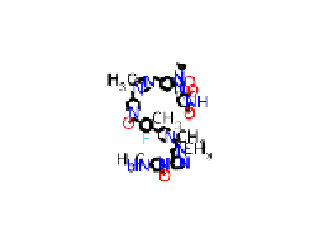 CNc1ccn(-c2ccnc3c2cc([C@H](C)N2CC=C(c4c(C)cc(C(=O)N5CCC(CN6CCN(Cc7ccc8c(c7)n(C7CC7)c(=O)n8[C@H]7CCC(=O)NC7=O)C[C@@H]6C)CC5)cc4F)CC2)n3C)c(=O)c1